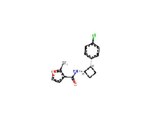 O=C(N[C@H]1CC[C@H]1c1ccc(Cl)cc1)c1ccoc1C(F)(F)F